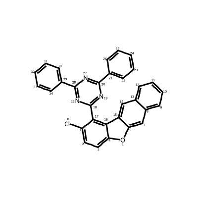 Clc1ccc2oc3cc4ccccc4cc3c2c1-c1nc(-c2ccccc2)nc(-c2ccccc2)n1